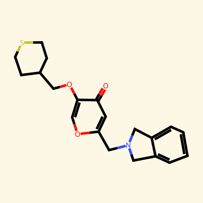 O=c1cc(CN2Cc3ccccc3C2)occ1OCC1CCSCC1